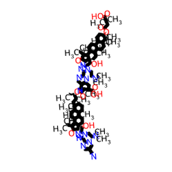 CC[C@H](CC[C@@]1(C)[C@H](C)CC[C@]2(C)[C@@H]1CC[C@@H]1C3=C(C(C)C)C(=O)C[C@]3(C(O)c3nnc(-c4ncc(C#N)cn4)n3CCN(C)C)CC[C@]12C)OC(=O)CC(C)(Cc1nc(-c2nnc([C@H](O)[C@@]34CC[C@]5(C)[C@H](CC[C@@H]6[C@@]7(C)CC[C@H](OC(=O)CC(C)(C)C(=O)O)C(C)(C)[C@@H]7CC[C@]65C)C3=C(C(C)C)C(=O)C4)n2CCN(C)C)ncc1C#N)C(=O)O